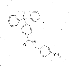 Cc1ccc(CNC(=O)c2ccc(C(Cl)(c3ccccc3)c3ccccc3)cc2)cc1